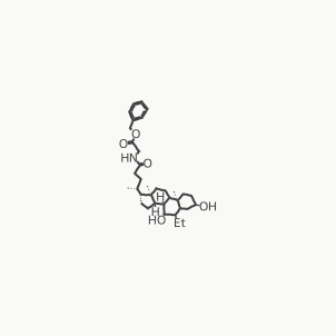 CC[C@@H]1C2C[C@H](O)CC[C@]2(C)C2CC[C@]3(C)[C@@H]([C@H](C)CCC(=O)NCC(=O)OCc4ccccc4)CC[C@H]3[C@@H]2[C@@H]1O